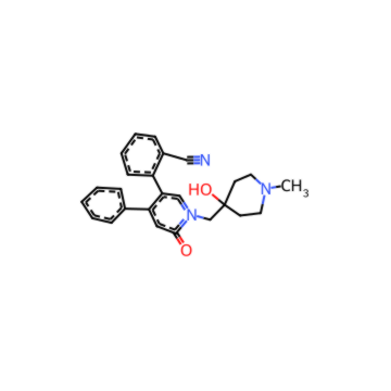 CN1CCC(O)(Cn2cc(-c3ccccc3C#N)c(-c3ccccc3)cc2=O)CC1